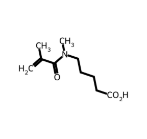 C=C(C)C(=O)N(C)CCCCC(=O)O